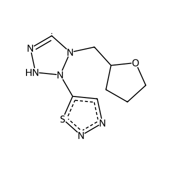 [C]1=NNN(c2cnns2)N1CC1CCCO1